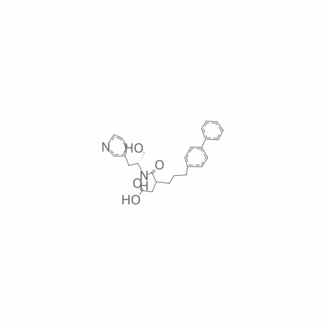 O=C(O)CC(CCCc1ccc(-c2ccccc2)cc1)C(=O)N[C@@H](CO)Cc1cccnc1